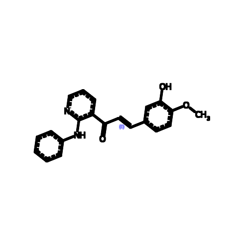 COc1ccc(/C=C/C(=O)c2cccnc2Nc2ccccc2)cc1O